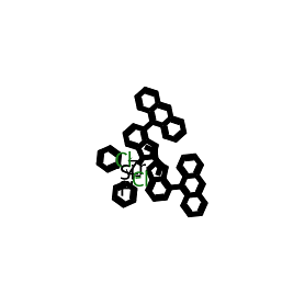 CCC1=Cc2c(-c3c4ccccc4cc4ccccc34)cccc2[CH]1[Zr]([Cl])([Cl])([CH]1C(CC)=Cc2c(-c3c4ccccc4cc4ccccc34)cccc21)[SiH](c1ccccc1)c1ccccc1